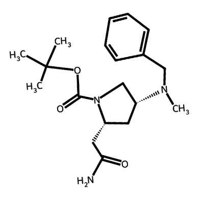 CN(Cc1ccccc1)[C@@H]1C[C@H](CC(N)=O)N(C(=O)OC(C)(C)C)C1